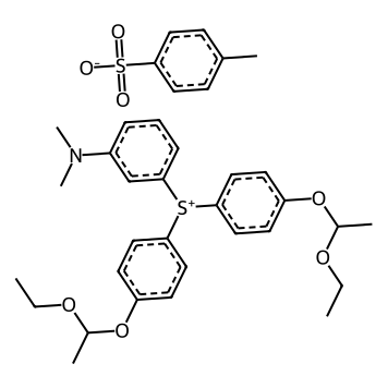 CCOC(C)Oc1ccc([S+](c2ccc(OC(C)OCC)cc2)c2cccc(N(C)C)c2)cc1.Cc1ccc(S(=O)(=O)[O-])cc1